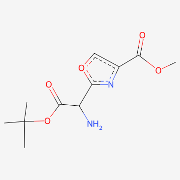 COC(=O)c1coc(C(N)C(=O)OC(C)(C)C)n1